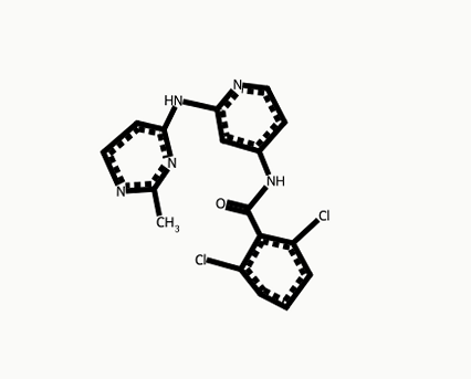 Cc1nccc(Nc2cc(NC(=O)c3c(Cl)cccc3Cl)ccn2)n1